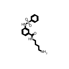 NCCCCNC(=O)c1cccc(NS(=O)(=O)c2ccccc2)c1